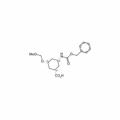 COCO[C@@H]1C[C@H](NC(=O)OCc2ccccc2)C[C@H](C(=O)O)C1